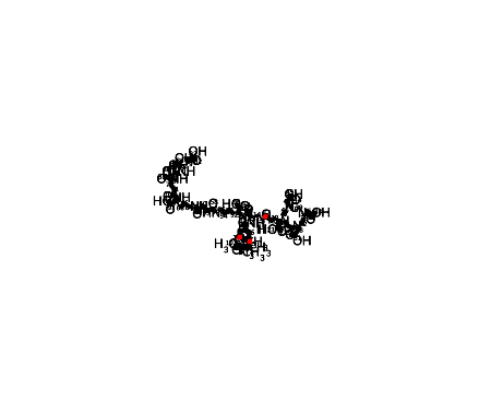 CC(C)(C)[Si](F)(c1ccc(C(=O)N[C@H](CNC(=O)CC[C@H](C(=O)O)N2CCN(CC(=O)O)CCN(CC(=O)O)CCN(CC(=O)O)CC2)C(=O)N[C@H](CCCCNC(=O)CCC(=O)NCCC[C@H](NC(=O)CC[C@H](NC(=O)N[C@@H](CCC(=O)O)C(=O)O)C(=O)O)C(=O)O)C(=O)O)cc1)C(C)(C)C